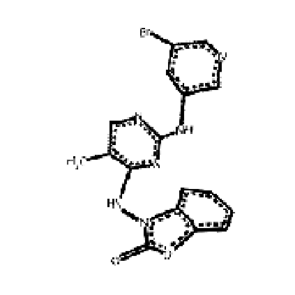 Cc1cnc(Nc2cncc(Br)c2)nc1Nn1c(=O)oc2ccccc21